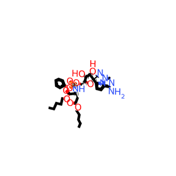 CCCCCOC(=O)C[C@H](N[P@@](=O)(OC[C@H]1O[C@@](C#N)(c2ccc3c(N)ncnn23)[C@H](O)[C@@H]1O)Oc1ccccc1)C(=O)OCCCCC